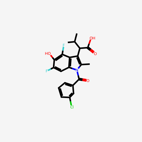 Cc1c(C(C(=O)O)C(C)C)c2c(F)c(O)c(F)cc2n1C(=O)c1cccc(Cl)c1